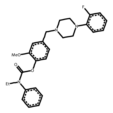 CCN(C(=O)Oc1ccc(CN2CCN(c3ccccc3F)CC2)cc1OC)c1ccccc1